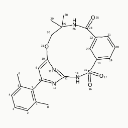 Cc1cccc(C)c1-c1cc2nc(n1)NS(=O)(=O)c1cccc(c1)C(=O)NC(C)(C)CO2